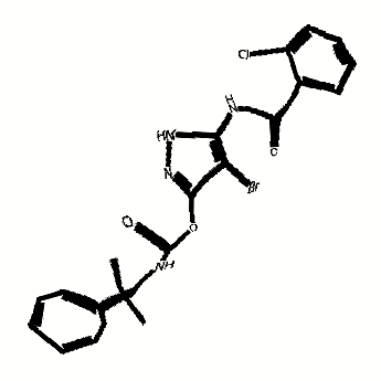 CC(C)(NC(=O)Oc1n[nH]c(NC(=O)c2ccccc2Cl)c1Br)c1ccccc1